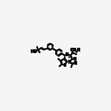 Cc1sc2c(c1C)C(c1ccc(-c3cccc(C=CC(C)(C)O)c3)cc1)=N[C@@H](C(C)C(=O)O)c1nnc(C)n1-2